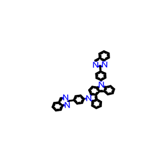 c1ccc2nc(-c3ccc(-n4c5ccccc5c5c6c7ccccc7n(-c7ccc(-c8ncc9ccccc9n8)cc7)c6ccc54)cc3)ncc2c1